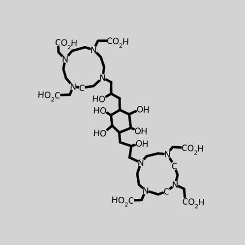 O=C(O)CN1CCN(CC(=O)O)CCN(CC(O)CC2C(O)C(O)C(CC(O)CN3CCN(CC(=O)O)CCN(CC(=O)O)CCN(CC(=O)O)CC3)C(O)C2O)CCN(CC(=O)O)CC1